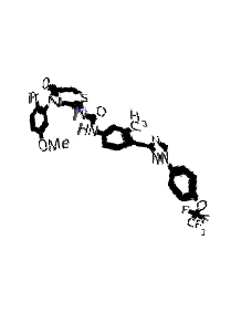 COc1ccc(C(C)C)c(N2C(=O)CS/C2=N\C(=O)Nc2ccc(-c3ncn(-c4ccc(OC(F)(F)C(F)(F)F)cc4)n3)c(C)c2)c1